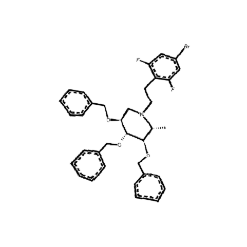 C[C@@H]1[C@@H](OCc2ccccc2)[C@H](OCc2ccccc2)[C@@H](OCc2ccccc2)CN1CCc1c(F)cc(Br)cc1F